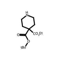 CCOC(=O)C1(C(=O)OC(C)(C)C)CCNCC1